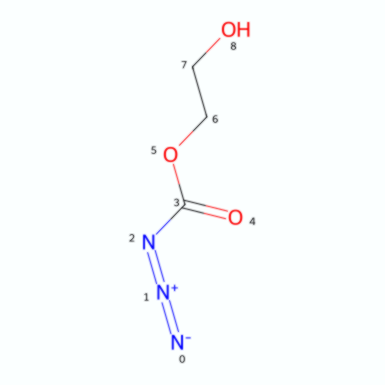 [N-]=[N+]=NC(=O)OCCO